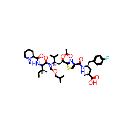 CC[C@H](C)C(NC(=O)C1CCCCN1C)C(=O)N(COCC(C)C)[C@H](C[C@@H](OC(C)=O)c1nc(C(=O)N[C@@H](Cc2ccc(F)cc2)C[C@H](C)C(=O)O)cs1)C(C)C